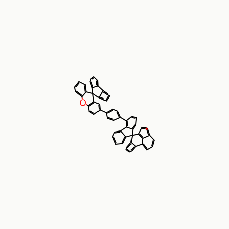 c1ccc2c(c1)Oc1ccc(-c3ccc(-c4cccc5c4-c4ccccc4C54c5ccccc5-c5cccc6cccc4c56)cc3)cc1C21c2ccccc2-c2ccccc21